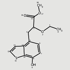 CCOC(Cc1ccc(O)c2sccc12)C(=O)OC